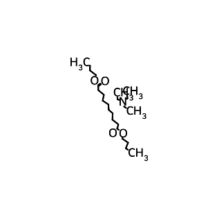 CCCCOC(=O)CCCCCCCCC(=O)OCCCC.CCN(CC)CC